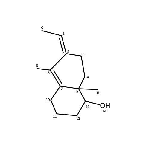 C/C=C1/CCC2(C)C(=C1C)CCCC2O